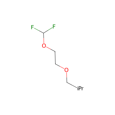 CC(C)COCCOC(F)F